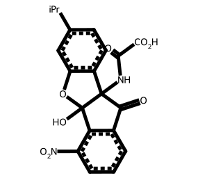 CC(C)c1ccc2c(c1)OC1(O)c3c(cccc3[N+](=O)[O-])C(=O)C21NC(=O)C(=O)O